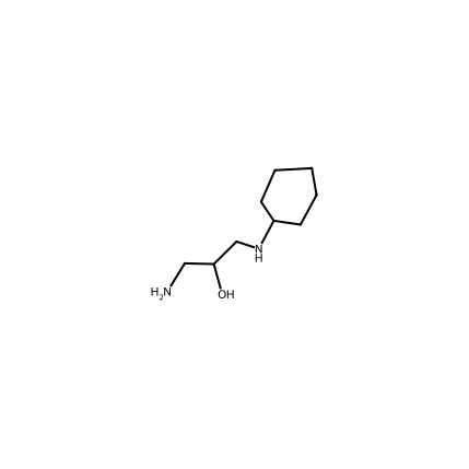 NCC(O)CNC1CCCCC1